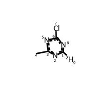 [2H]c1nc(C)nc(Cl)n1